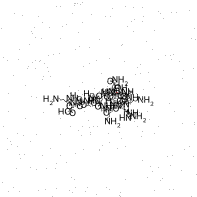 CC(C)[C@H](NC(=O)[C@H](CCCCN)NC(=O)[C@H](CCCNC(=N)N)NC(=O)[C@@H]1CCCN1C(=O)[C@H](CCCCN)NC(=O)[C@H](C)NC(=O)[C@H](CCC(N)=O)NC(=O)[C@@H]1CCCN1C(=O)[C@@H](NC(=O)[C@@H]1CCCN1C(=O)[C@H](CCC(=O)O)NC(=O)[C@@H](N)CCCCN)C(C)C)C(=O)N[C@@H](C)C(=O)N[C@H](C)C(=O)N[C@@H](CCC(N)=O)C(=O)O